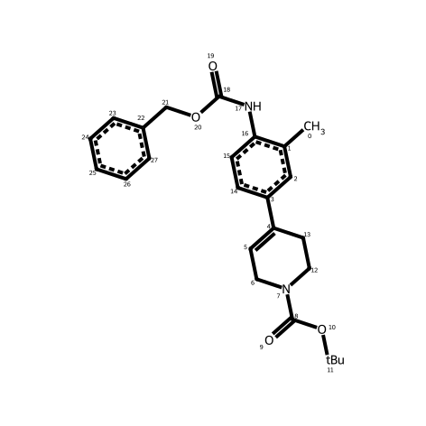 Cc1cc(C2=CCN(C(=O)OC(C)(C)C)CC2)ccc1NC(=O)OCc1ccccc1